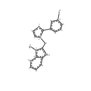 CCn1c(Cn2ccnc2-c2cccc(F)c2)nc2cccnc21